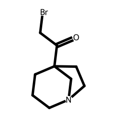 O=C(CBr)C12CCCN(CC1)C2